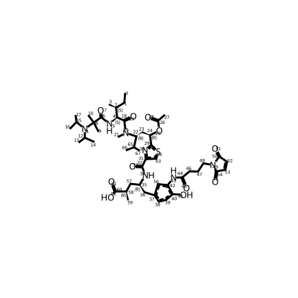 CC[C@H](C)[C@H](NC(=O)C(C)(C)N(C(C)C)C(C)C)C(=O)N(C)[C@H](C[C@@H](OC(C)=O)c1nc(C(=O)N[C@@H](Cc2ccc(O)c(NC(=O)CCCN3C(=O)C=CC3=O)c2)C[C@@H](C)C(=O)O)cs1)C(C)C